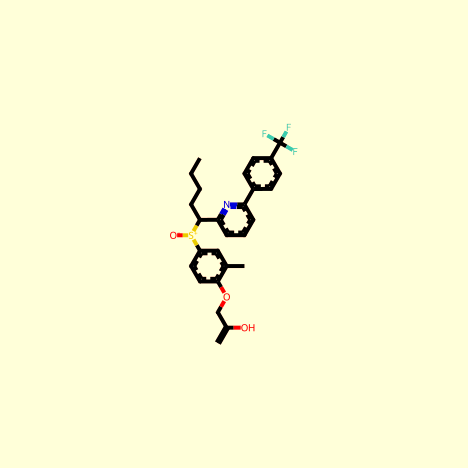 C=C(O)COc1ccc([S+]([O-])C(CCCC)c2cccc(-c3ccc(C(F)(F)F)cc3)n2)cc1C